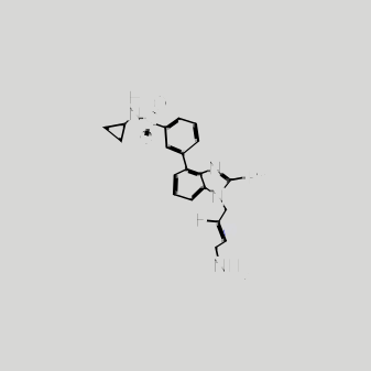 CC(C)c1nc2c(-c3cccc(S(=O)(=O)NC4CC4)c3)cccc2n1C/C(F)=C/CN